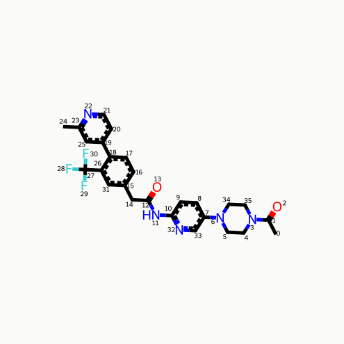 CC(=O)N1CCN(c2ccc(NC(=O)Cc3ccc(-c4ccnc(C)c4)c(C(F)(F)F)c3)nc2)CC1